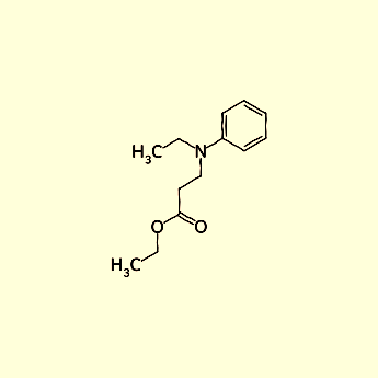 CCOC(=O)CCN(CC)c1ccccc1